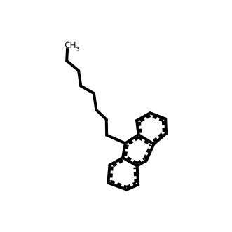 CCCCCCCCc1c2ccccc2[c]c2ccccc12